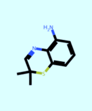 CC1(C)C=Nc2c(N)cccc2S1